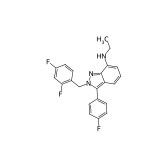 CCNc1cccc2c(-c3ccc(F)cc3)n(Cc3ccc(F)cc3F)nc12